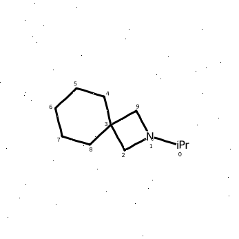 CC(C)N1CC2(CCCCC2)C1